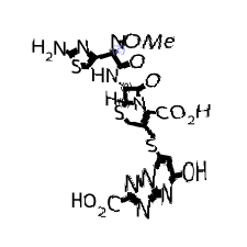 CO/N=C(\C(=O)N[C@@H]1C(=O)N2C(C(=O)O)=C(CSc3cc(O)nc4nc(C(=O)O)nn34)CS[C@H]12)c1csc(N)n1